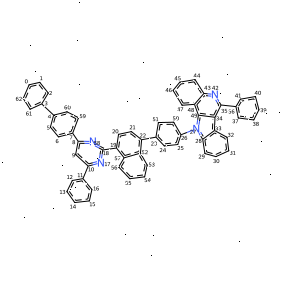 c1ccc(-c2ccc(-c3cc(-c4ccccc4)nc(-c4ccc(-c5ccc(-n6c7ccccc7c7c(-c8ccccc8)nc8ccccc8c76)cc5)c5ccccc45)n3)cc2)cc1